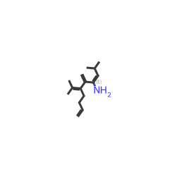 C=CCCC(C(=C)/C(N)=C\C(C)C)=C(C)C